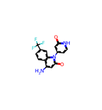 Nc1cc(=O)n(-c2cc[nH]c(=O)c2)c2cc(C(F)(F)F)ccc12